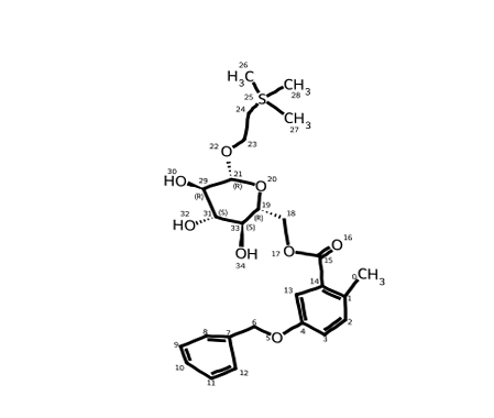 Cc1ccc(OCc2ccccc2)cc1C(=O)OC[C@H]1O[C@@H](OCCS(C)(C)C)[C@H](O)[C@@H](O)[C@@H]1O